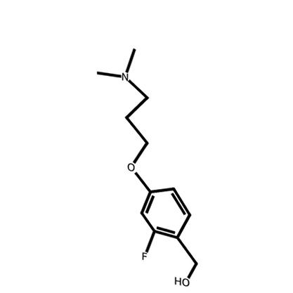 CN(C)CCCOc1ccc(CO)c(F)c1